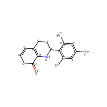 CC(C)c1cc(C(C)C)c(C2CCC3=C(N2)C(=O)CC=C3)c(C(C)C)c1